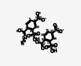 O=C([O-])c1ccc([N+](=O)[O-])cc1S(=O)(=O)O.O=C([O-])c1ccc([N+](=O)[O-])cc1S(=O)(=O)O.[K+].[K+]